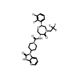 O=C(N[C@@H]1CO[C@@H](c2cccc(F)c2F)CN(CC(F)(F)F)C1=O)N1CCC(n2c(=O)[nH]c3ncccc32)CC1